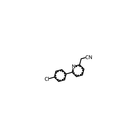 N#CCc1cccc(-c2ccc(Cl)cc2)n1